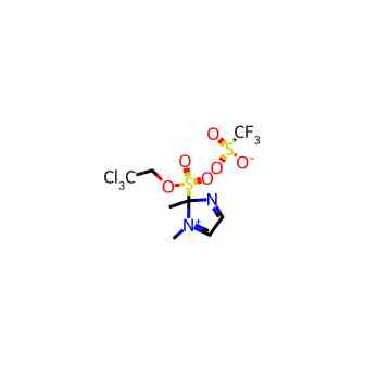 C[N+]1=CC=NC1(C)S(=O)(=O)OCC(Cl)(Cl)Cl.O=S(=O)([O-])C(F)(F)F